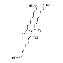 CCCCCCCCCCCCCCCCC(CC)P(C(CC)CCCCCCCCCCCCCCCC)C(CC)CCCCCCCCCCCCCCCC